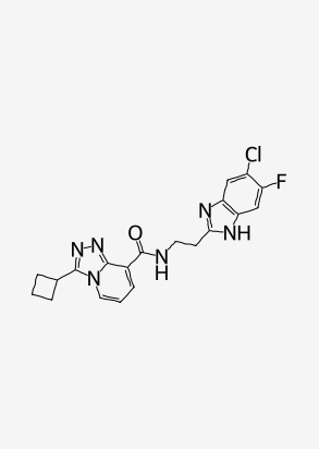 O=C(NCCc1nc2cc(Cl)c(F)cc2[nH]1)c1cccn2c(C3CCC3)nnc12